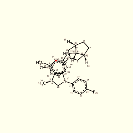 Cc1cc(N2C[C@H]3CC[C@@H](C2)[C@H]3Nc2nc(Cl)c3c(n2)N(c2ccc(F)cc2)C[C@H]3C)ncn1